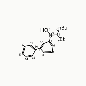 CCCCC(CC)N(O)c1cccc(-c2ccccc2)c1